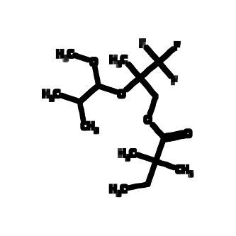 CCC(C)(C)C(=O)OCC(C)(OC(OC)C(C)C)C(F)(F)F